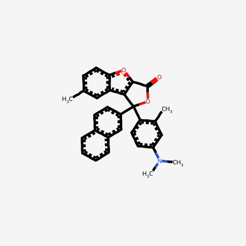 Cc1ccc2oc3c(c2c1)C(c1ccc2ccccc2c1)(c1ccc(N(C)C)cc1C)OC3=O